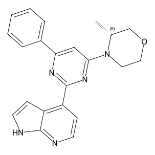 C[C@@H]1COCCN1c1cc(-c2ccccc2)nc(-c2ccnc3[nH]ccc23)n1